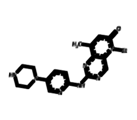 CCn1c(=O)cc(C)c2nc(Nc3ccc(N4CCNCC4)cn3)ncc21